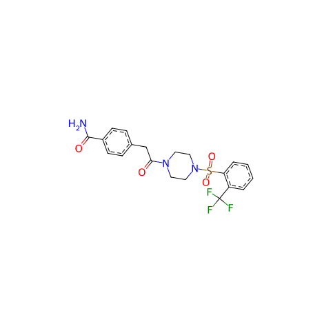 NC(=O)c1ccc(CC(=O)N2CCN(S(=O)(=O)c3ccccc3C(F)(F)F)CC2)cc1